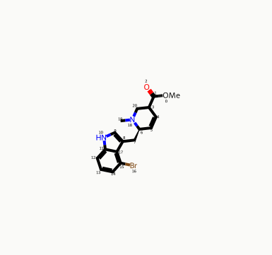 COC(=O)C1C=C[C@@H](Cc2c[nH]c3cccc(Br)c23)N(C)C1